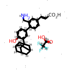 NCc1cc(C=CC(=O)O)ccc1-c1ccc(O)c(C23CC4CC(CC(C4)C2)C3)c1.O=C(O)C(F)(F)F